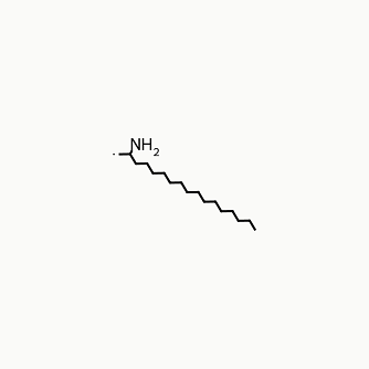 [CH2]C(N)CCCCCCCCCCCCCCC